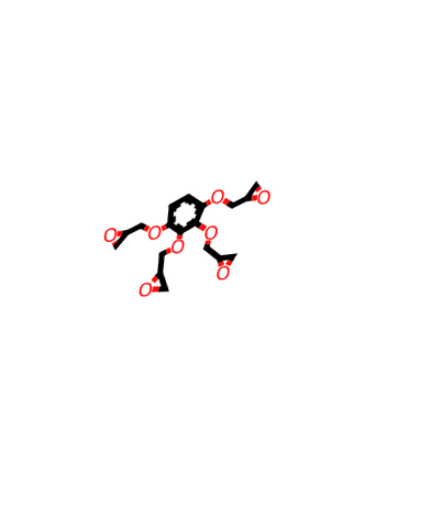 c1cc(OCC2CO2)c(OCC2CO2)c(OCC2CO2)c1OCC1CO1